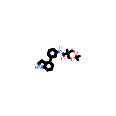 CC1(C)OCC(C)(C(=O)Nc2cccc(-c3cccc4[nH]ccc34)c2)CO1